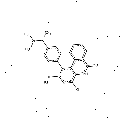 C[C@H](c1ccc(-c2c(O)cc(Cl)c3[nH]c(=O)c4ccccc4c23)cc1)N(C)C.Cl